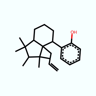 C=CCC12C(c3ccccc3O)CCCC1C(C)(C)C(C)C2(C)C